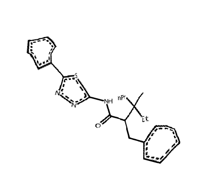 CCCC(C)(CC)C(Cc1ccccc1)C(=O)Nc1nnc(-c2ccccc2)s1